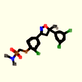 CCN(CC)S(=O)(=O)CSc1ccc(C2=NOC(c3cc(Cl)cc(Cl)c3)(C(F)(F)F)C2)cc1Br